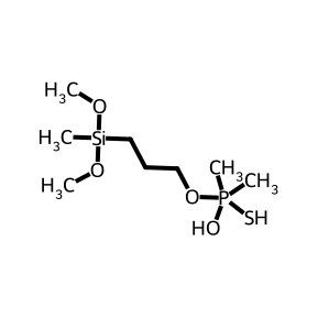 CO[Si](C)(CCCOP(C)(C)(O)S)OC